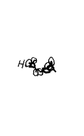 COc1cc(C(=O)COc2ccc3c(C)cc(=O)oc3c2)ccc1O